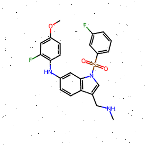 CNCc1cn(S(=O)(=O)c2cccc(F)c2)c2cc(Nc3ccc(OC)cc3F)ccc12